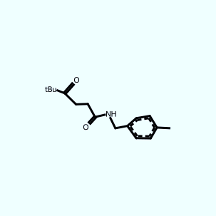 Cc1ccc(CNC(=O)CCC(=O)C(C)(C)C)cc1